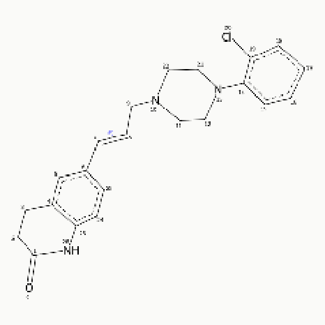 O=C1CCc2cc(/C=C/CN3CCN(c4ccccc4Cl)CC3)ccc2N1